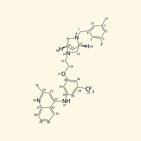 Cc1cc(C)cc(CN2C[C@@H]3C[C@H]2CN3CCOc2cc(Nc3cc(C)nc4ccccc34)cc(C(F)(F)F)c2)c1